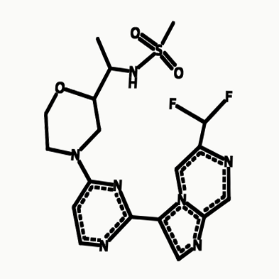 CC(NS(C)(=O)=O)C1CN(c2ccnc(-c3cnc4cnc(C(F)F)cn34)n2)CCO1